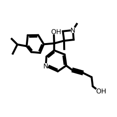 CC(C)c1ccc(C(O)(c2cncc(C#CCCO)c2)C2(C)CN(C)C2)cc1